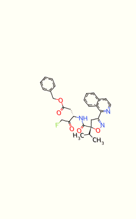 CC(C)[C@@]1(C(=O)N[C@@H](CC(=O)OCc2ccccc2)C(=O)CF)CC(c2nccc3ccccc23)=NO1